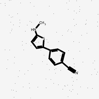 CNc1ccc(-c2ccc(C#N)cc2)s1